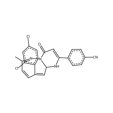 CC1=N/N2C(=O)C=C(c3ccc(C#N)cc3)NC2/C=C(c2ccc(Cl)cc2Cl)/C=C\1